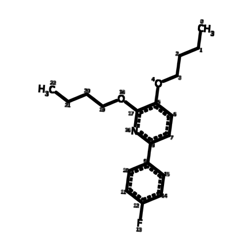 CCCCOc1ccc(-c2ccc(F)cc2)nc1OCCCC